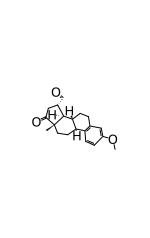 COc1ccc2c(c1)CC[C@H]1[C@@H]3[C@@H](C=O)CC(=O)[C@@]3(C)CC[C@H]21